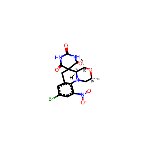 C[C@@H]1CN2c3c(cc(Br)cc3[N+](=O)[O-])CC3(C(=O)NC(=O)NC3=O)[C@H]2[C@H](C)O1